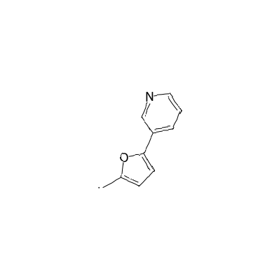 [CH2]c1ccc(-c2cccnc2)o1